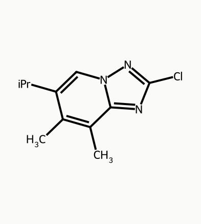 Cc1c(C(C)C)cn2nc(Cl)nc2c1C